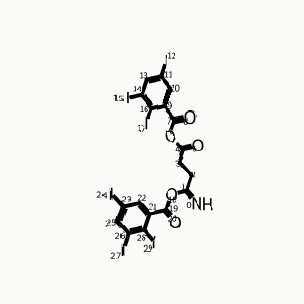 N=C(CCC(=O)OC(=O)c1cc(I)cc(I)c1I)OC(=O)c1cc(I)cc(I)c1I